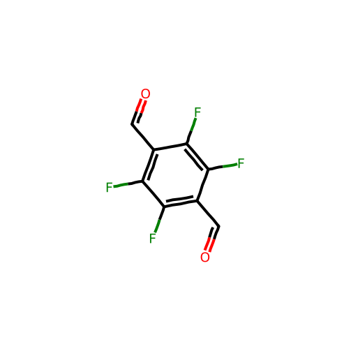 O=Cc1c(F)c(F)c(C=O)c(F)c1F